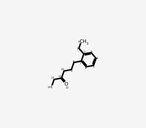 CCc1ccccc1CCCC(=O)CI